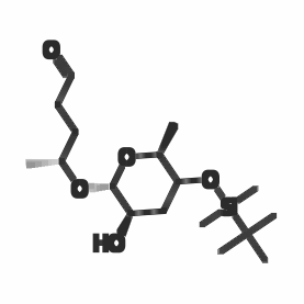 C[C@H](CCC=O)O[C@@H]1O[C@@H](C)C(O[Si](C)(C)C(C)(C)C)C[C@H]1O